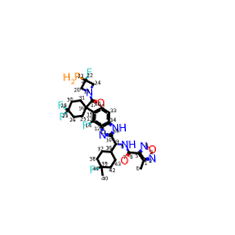 Cc1nonc1C(=O)N[C@H](c1nc2c(F)c(C3(C(=O)N4CC(F)(P)C4)CCC(F)(F)CC3)ccc2[nH]1)C1CCC(C)(F)CC1